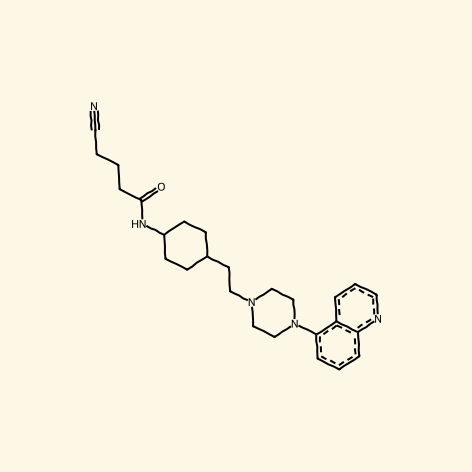 N#CCCCC(=O)NC1CCC(CCN2CCN(c3cccc4ncccc34)CC2)CC1